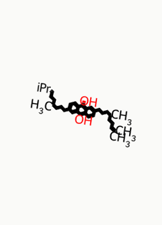 CC(C)=CCCC(C)CCCc1ccc2c(O)c3cc(CCCC(C)CCCC(C)C)ccc3c(O)c2c1